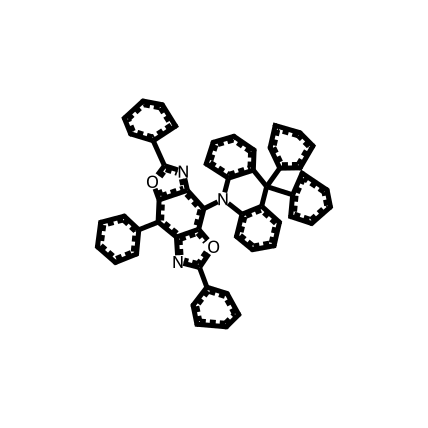 c1ccc(-c2nc3c(N4c5ccccc5C(c5ccccc5)(c5ccccc5)c5ccccc54)c4oc(-c5ccccc5)nc4c(-c4ccccc4)c3o2)cc1